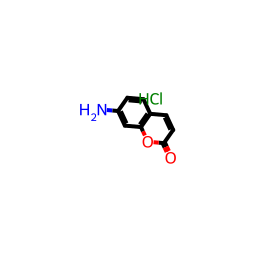 Cl.Nc1ccc2ccc(=O)oc2c1